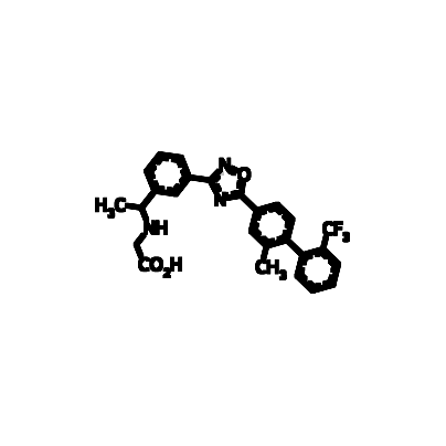 Cc1cc(-c2nc(-c3cccc(C(C)NCC(=O)O)c3)no2)ccc1-c1ccccc1C(F)(F)F